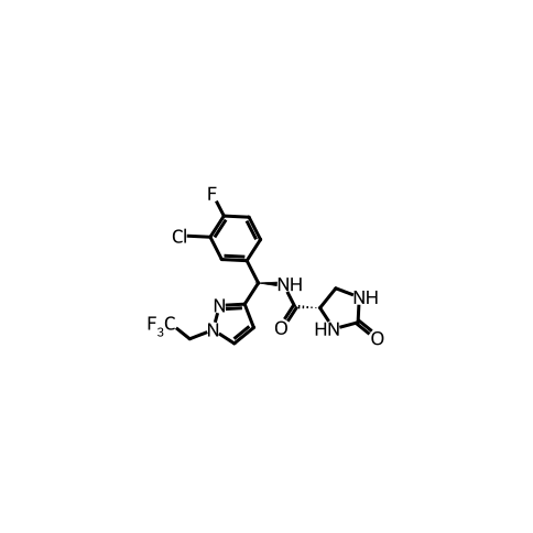 O=C1NC[C@@H](C(=O)N[C@H](c2ccc(F)c(Cl)c2)c2ccn(CC(F)(F)F)n2)N1